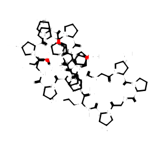 CSCC[C@H](NC(=O)[C@@H]1C[C@@H](O)CN1C(=O)CNC(=O)[C@@H]1CCCN1C(=O)[C@@H]1C[C@@H](O)CN1C(=O)CNC(=O)[C@@H]1CCCN1C(=O)[C@@H]1C[C@@H](O)CN1C(=O)CNC(=O)[C@@H]1CCCN1C(=O)[C@@H]1C[C@@H](O)CN1C(=O)CNC(=O)[C@@H]1CCCN1C(=O)[C@@H]1C[C@@H](O)CN1C(=O)CNC(=O)[C@@H]1CCCN1C(=O)[C@@H]1C[C@@H](O)CN1)C(=O)NCC(=O)N1C[C@H](O)C[C@H]1C(=O)N1CCC[C@H]1C(=O)NCC(=O)O